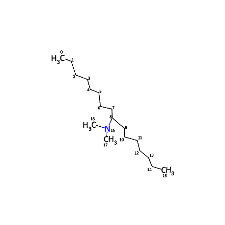 CCCCCCCCC(CCCCCCC)N(C)C